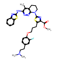 COC(=O)c1nc(N2CCCc3c2nnc(Nc2nc4ccccc4s2)c3C)sc1CCCOc1ccc(CCN(C)C)cc1F